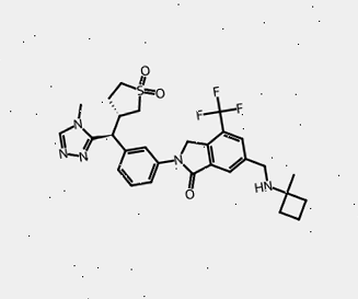 Cn1cnnc1[C@H](c1cccc(N2Cc3c(cc(CNC4(C)CCC4)cc3C(F)(F)F)C2=O)c1)[C@@H]1CCS(=O)(=O)C1